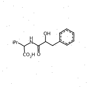 CC(C)C(NC(=O)C(O)Cc1ccccc1)C(=O)O